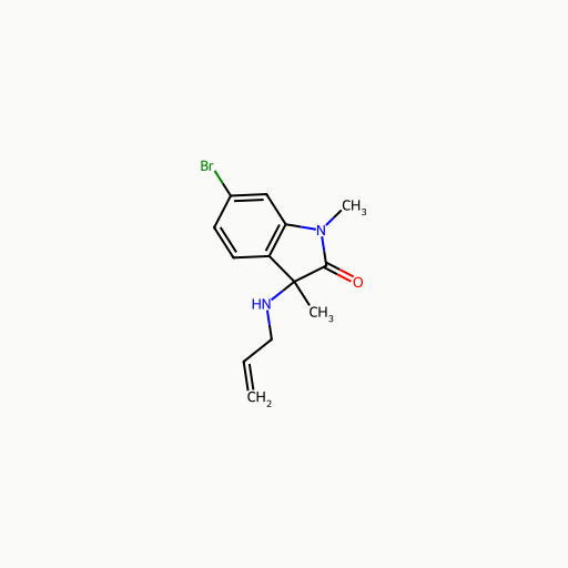 C=CCNC1(C)C(=O)N(C)c2cc(Br)ccc21